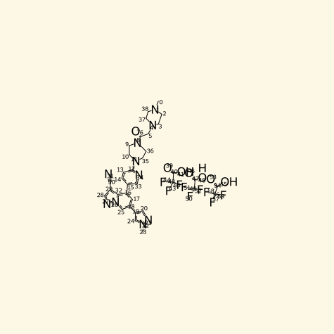 CN1CCN(CC(=O)N2CCN(c3ccc(-c4cc(-c5cnn(C)c5)cn5ncc(C#N)c45)cn3)CC2)CC1.O=C(O)C(F)(F)F.O=C(O)C(F)(F)F.O=C(O)C(F)(F)F